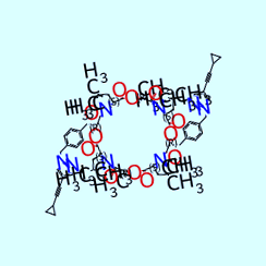 CC(C)C[C@H]1C(=O)O[C@H](Cc2ccc(Cn3cc(C#CC4CC4)cn3)cc2)C(=O)N(C)[C@@H](CC(C)C)C(=O)O[C@H](C)C(=O)N(C)[C@@H](CC(C)C)C(=O)O[C@H](Cc2ccc(Cn3cc(C#CC4CC4)cn3)cc2)C(=O)N(C)[C@@H](CC(C)C)C(=O)O[C@H](C)C(=O)N1C